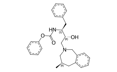 C[C@@H]1Cc2ccccc2CN(C[C@@H](O)[C@H](Cc2ccccc2)NC(=O)Oc2ccccc2)C1